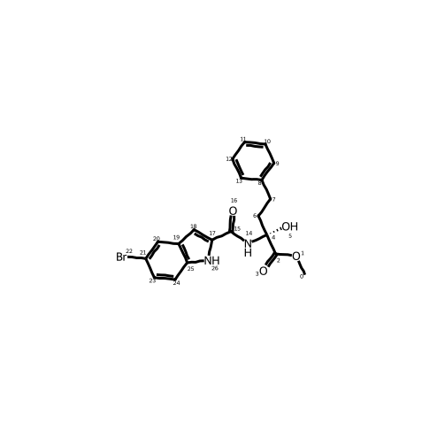 COC(=O)[C@](O)(CCc1ccccc1)NC(=O)c1cc2cc(Br)ccc2[nH]1